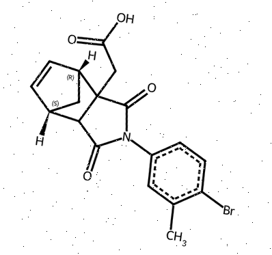 Cc1cc(N2C(=O)C3[C@@H]4C=C[C@@H](C4)C3(CC(=O)O)C2=O)ccc1Br